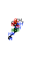 COc1cc(-c2cc3cc(CNCCc4cccnc4)ccc3[nH]2)c2c(c1OS(C)(=O)=O)CNC2=O.Cl.Cl